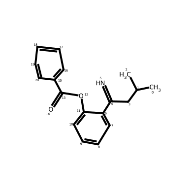 CC(C)CC(=N)c1ccccc1OC(=O)c1ccccc1